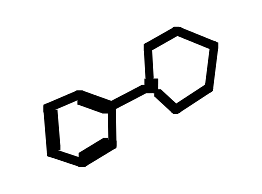 c1cc[c]([Bi]2[CH2]CCC[CH2]2)cc1